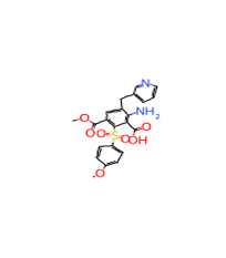 COC(=O)c1cc(Cc2cccnc2)c(N)c(C(=O)O)c1S(=O)(=O)c1ccc(OC)cc1